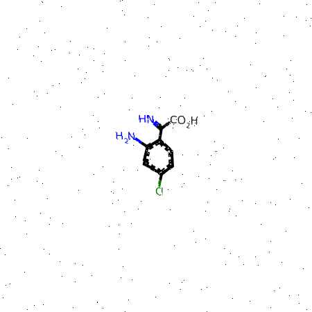 N=C(C(=O)O)c1ccc(Cl)cc1N